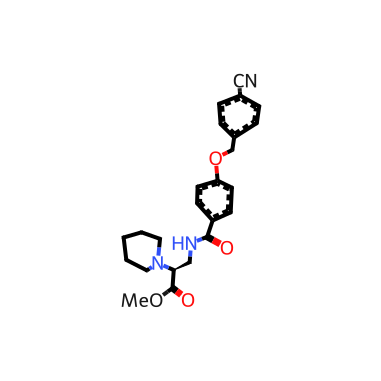 COC(=O)[C@H](CNC(=O)c1ccc(OCc2ccc(C#N)cc2)cc1)N1CCCCC1